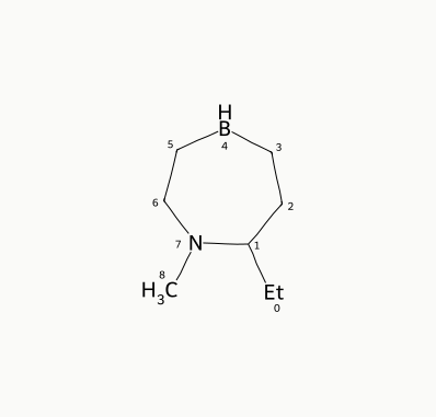 CCC1CCBCCN1C